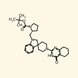 CC(C)(C)OC(=O)N1CCC[C@H]1CN1CC2(CCN(c3nc4c(c(=O)[nH]3)CCCC4)CC2)c2ccccc21